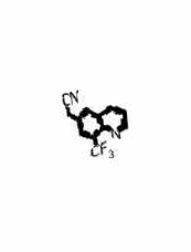 N#CCc1cc(C(F)(F)F)c2ncccc2c1